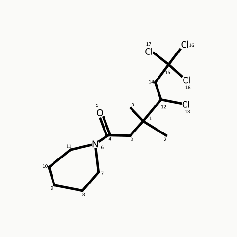 CC(C)(CC(=O)N1CCCCC1)C(Cl)CC(Cl)(Cl)Cl